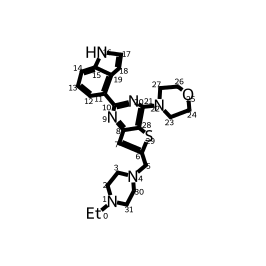 CCN1CCN(Cc2cc3nc(-c4cccc5[nH]ccc45)nc(N4CCOCC4)c3s2)CC1